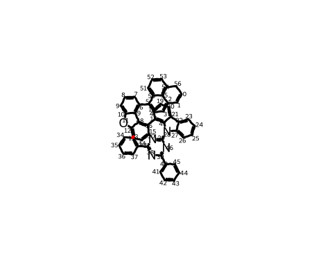 C1=Cc2ccc(-c3cccc4oc5cccc(-c6cccc7c8ccccc8n(-c8nc(-c9ccccc9)nc(-c9ccccc9)n8)c67)c5c34)c3cccc(c23)C1